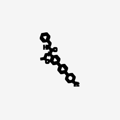 CCC1CCC(c2ccc(-c3ccc4c(c3)OC(C)CN4C(=O)NCc3ccccc3)cc2)CC1